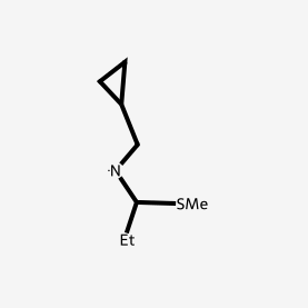 CCC([N]CC1CC1)SC